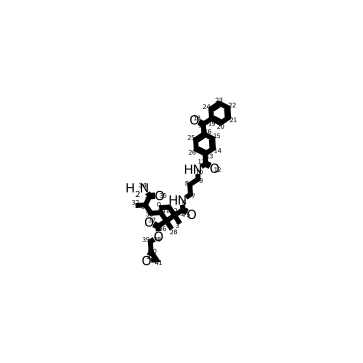 CCC(C)(C(=O)NCCCNC(=O)c1ccc(C(=O)c2ccccc2)cc1)C(C)(CCC(C)C(N)=O)C(=O)OCC1CO1